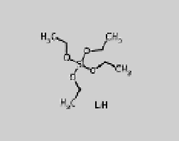 CCO[Si](OCC)(OCC)OCC.[LiH]